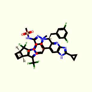 Cn1nc(NS(C)(=O)=O)c2c(Cl)ccc(-c3cc4[nH]c(C5CC5)nc4nc3[C@H](Cc3cc(F)cc(F)c3)NC(=O)Cn3nc(C(F)(F)F)c4c3C(F)(F)[C@@H]3C=C[C@H]43)c21